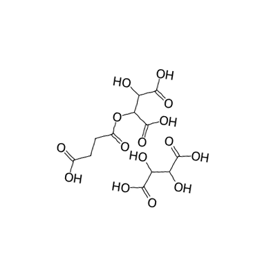 O=C(O)C(O)C(O)C(=O)O.O=C(O)CCC(=O)OC(C(=O)O)C(O)C(=O)O